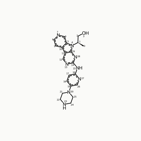 C[C@H](CO)n1c2cnccc2c2cnc(Nc3ccc(N4CCNCC4)cn3)nc21